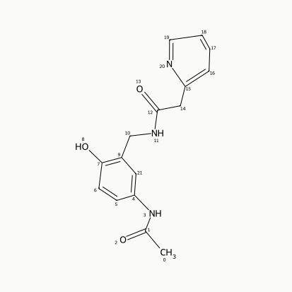 CC(=O)Nc1ccc(O)c(CNC(=O)Cc2ccccn2)c1